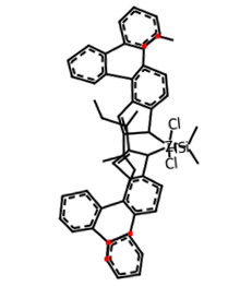 CCCc1ccc2c(c1-c1ccccc1-c1ccccc1)C=C(C(C)CC)[CH]2[Zr]([Cl])([Cl])([CH]1C(C(C)CC)=Cc2c1ccc(CCC)c2-c1ccccc1-c1ccccc1)[SiH](C)C